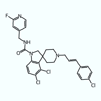 O=C(NCc1ccnc(F)c1)N1CC2(CCN(C/C=C/c3ccc(Cl)cc3)CC2)c2c1ccc(Cl)c2Cl